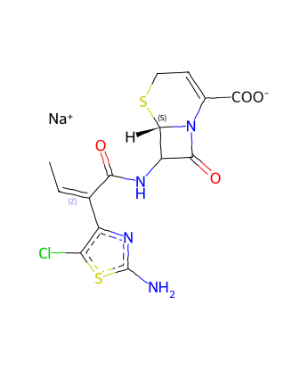 C/C=C(\C(=O)NC1C(=O)N2C(C(=O)[O-])=CCS[C@@H]12)c1nc(N)sc1Cl.[Na+]